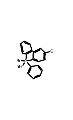 CCCP(Br)(c1ccccc1)(c1ccccc1)c1ccc(O)cc1